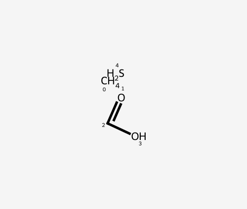 C.O=CO.S